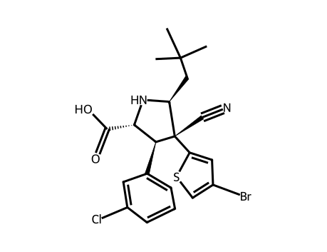 CC(C)(C)C[C@@H]1N[C@@H](C(=O)O)[C@H](c2cccc(Cl)c2)[C@@]1(C#N)c1cc(Br)cs1